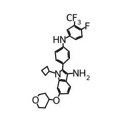 Nc1c(-c2ccc(Nc3ccc(F)c(C(F)(F)F)c3)cc2)n(C2CCC2)c2cc(OC3CCOCC3)ccc12